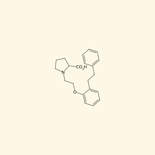 O=C(O)C1CCCN1CCOc1ccccc1CCc1ccccc1